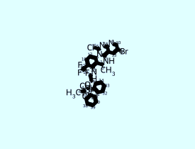 C[C@@H](Nc1nc(Cl)nc2ncc(Br)cc12)c1cccc(C(F)(F)F)c1NCCO[Si](c1ccccc1)(c1ccccc1)C(C)(C)C